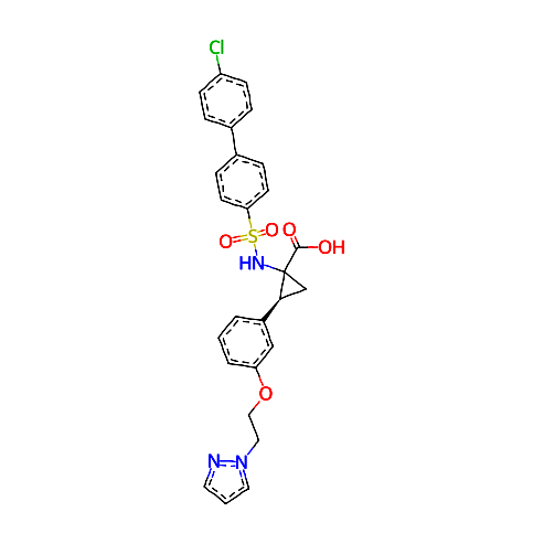 O=C(O)C1(NS(=O)(=O)c2ccc(-c3ccc(Cl)cc3)cc2)C[C@H]1c1cccc(OCCn2cccn2)c1